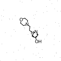 Oc1cnn(CCN2CCOCC2)c1